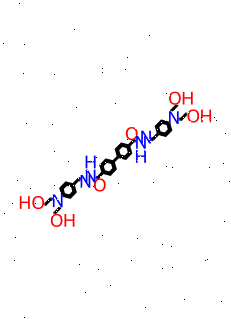 O=C(N/N=C/c1ccc(N(CCO)CCO)cc1)c1ccc(-c2ccc(C(=O)N/N=C/c3ccc(N(CCO)CCO)cc3)cc2)cc1